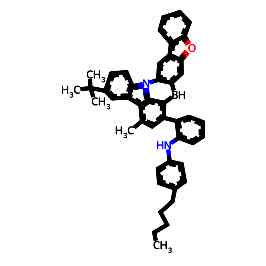 CCCCCc1ccc(Nc2ccccc2-c2cc(C)c3c4cc(C(C)(C)C)ccc4n4c3c2Bc2cc3oc5ccccc5c3cc2-4)cc1